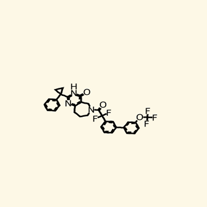 O=C(N1CCCc2nc(C3(c4ccccc4)CC3)[nH]c(=O)c2C1)C(F)(F)c1cccc(-c2cccc(OC(F)(F)F)c2)c1